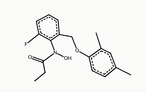 CCC(=O)N(O)c1c(F)cccc1COc1ccc(C)cc1C